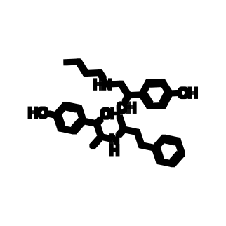 CC(CCc1ccccc1)NC(C)C(O)c1ccc(O)cc1.CCCCNCC(O)c1ccc(O)cc1